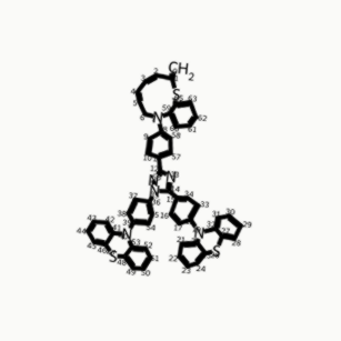 C=C1/C=C\C=C/CN(c2ccc(-c3nc(-c4ccc(N5c6ccccc6Sc6ccccc65)cc4)n(-c4ccc(N5c6ccccc6Sc6ccccc65)cc4)n3)cc2)c2ccccc2S1